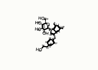 Cc1cc(F)cc2c(Sc3ccc(CCO)cc3)cn([C@@H]3O[C@H](CO)[C@@H](O)[C@H](O)[C@H]3O)c12